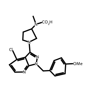 COc1ccc(Cn2nc(N3CCC(N(C)C(=O)O)C3)c3c(Cl)ccnc32)cc1